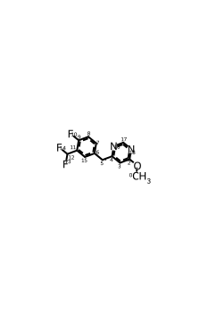 COc1cc([CH]c2ccc(F)c(C(F)F)c2)ncn1